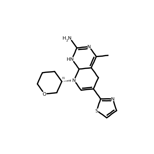 CC1=C2CC(c3nccs3)=CN([C@H]3CCCOC3)C2NC(N)=N1